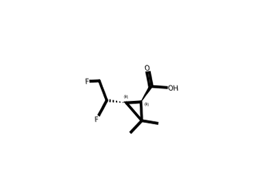 CC1(C)[C@H](C(=O)O)[C@H]1C(F)CF